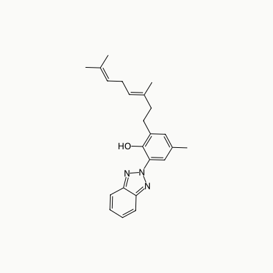 CC(C)=CCC=C(C)CCc1cc(C)cc(-n2nc3ccccc3n2)c1O